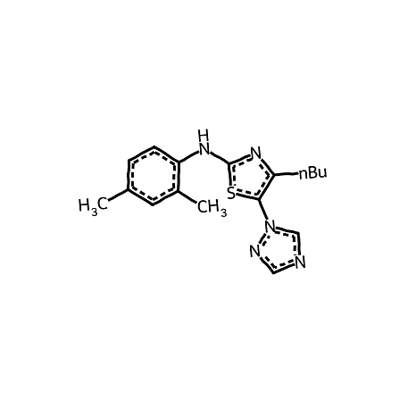 CCCCc1nc(Nc2ccc(C)cc2C)sc1-n1cncn1